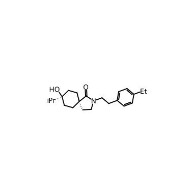 CCc1ccc(CCN2CC[C@]3(CC[C@@](O)(C(C)C)CC3)C2=O)cc1